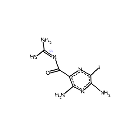 N/C(S)=N/C(=O)c1nc(I)c(N)nc1N